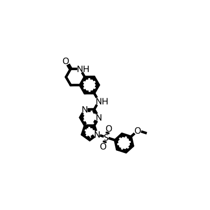 COc1cccc(S(=O)(=O)n2ccc3cnc(Nc4ccc5c(c4)CCC(=O)N5)nc32)c1